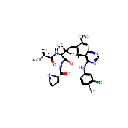 CCCc1ccc(Nc2ncnc3cc(OC)c(CC(C)(C)[C@H](NC(=O)[C@H](C)NC)C(=O)NC(=O)[C@@H]4CCCN4)cc23)cc1Cl